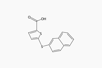 O=C(O)c1ccc(Sc2ccc3ccccc3c2)s1